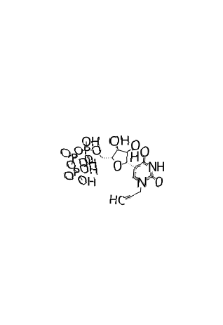 C#CCn1cc([C@@H]2O[C@H](COP(=O)(O)OP(=O)(O)OP(=O)(O)O)[C@@H](O)[C@H]2O)c(=O)[nH]c1=O